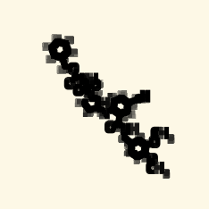 COc1ccc(CNC(=O)c2cc(C#N)ccc2NC2CCN(S(=O)(=O)NC(=O)OCc3ccccc3)C2)cc1OC